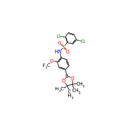 CC1(C)OB(c2ccc(NS(=O)(=O)c3cc(Cl)ccc3Cl)c(OC(F)(F)F)c2)OC1(C)C